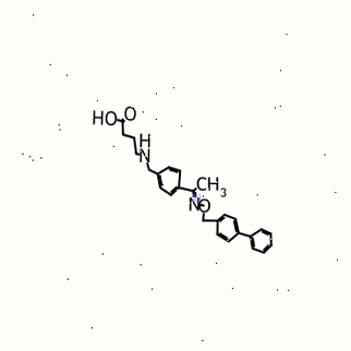 C/C(=N\OCc1ccc(-c2ccccc2)cc1)c1ccc(CNCCCC(=O)O)cc1